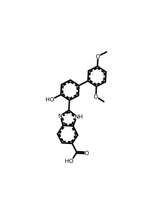 COc1ccc(OC)c(-c2ccc(O)c(-c3nc4ccc(C(=O)O)cc4[nH]3)c2)c1